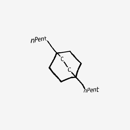 CCCCCC12CCC(CCCCC)(CC1)CC2